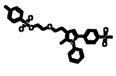 Cc1ccc(S(=O)(=O)OCCOCCc2cc(-c3ccc(S(C)(=O)=O)cc3)n(-c3ccccc3)c2C)cc1